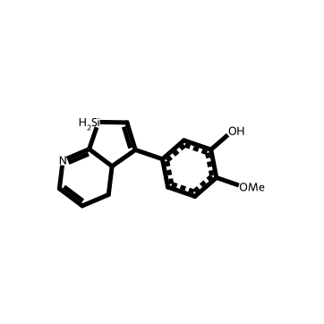 COc1ccc(C2=C[SiH2]C3=NC=CCC23)cc1O